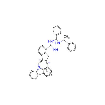 C=C/C=C1/Cc2c(C(=N)NC(NC(C)c3ccccc3)c3ccccc3)cccc2/C1=C/n1c2ccccc2c2ccccc21